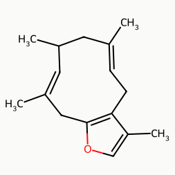 C/C1=C\C(C)C/C(C)=C/Cc2c(C)coc2C1